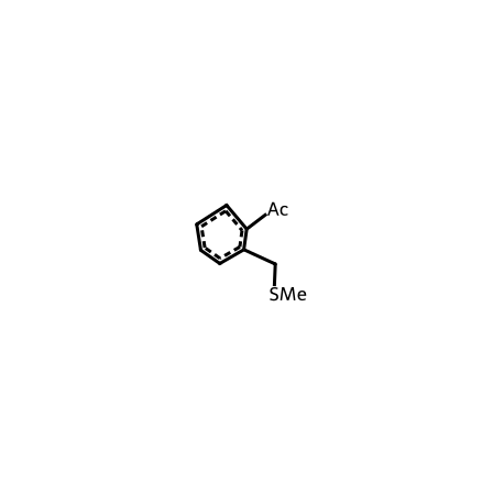 CSCc1ccccc1C(C)=O